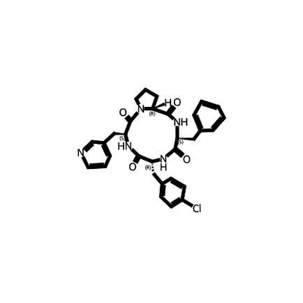 O=C1N[C@H](Cc2ccc(Cl)cc2)C(=O)N[C@@H](Cc2cccnc2)C(=O)N2CCC[C@@H]2C(=O)N[C@H]1Cc1ccccc1